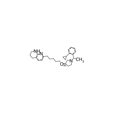 CC(c1ccccc1C1CC1)N1CC[C@@H](OCCCCCc2ccc3c(n2)NCCC3)C1